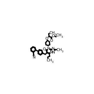 CCCc1c(Cc2ccc(-c3ccccc3C#N)cc2)c(=O)n([C@H]2CC[C@H](OC(CC)C(=O)OCC)CC2)c2nc(C)nn12